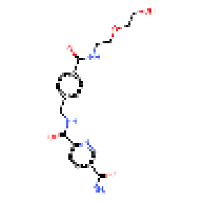 NC(=O)c1ccc(C(=O)NCc2ccc(C(=O)NCCOCCO)cc2)nc1